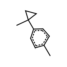 Cc1[c]cc(C2(C)CC2)cc1